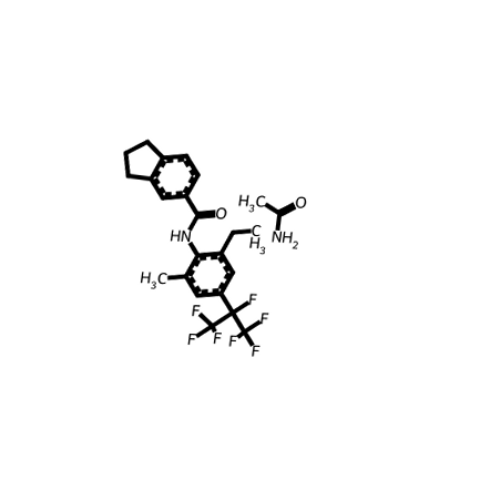 CC(N)=O.CCc1cc(C(F)(C(F)(F)F)C(F)(F)F)cc(C)c1NC(=O)c1ccc2c(c1)CCC2